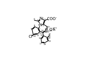 Cc1nc(C(=O)[O-])c2n1-c1ccc(Cl)cc1C(c1ccccc1F)=NC2.O.[K+]